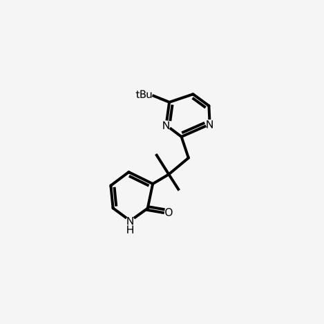 CC(C)(C)c1ccnc(CC(C)(C)c2ccc[nH]c2=O)n1